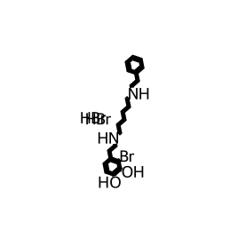 Br.Br.Oc1ccc(CCNCCCCCCNCCc2ccccc2)c(Br)c1O